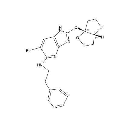 CCc1cc2[nH]c(O[C@@]34CCO[C@@H]3CCO4)nc2nc1NCCc1ccccc1